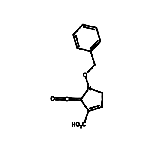 O=C=C1C(C(=O)O)=CCN1OCc1ccccc1